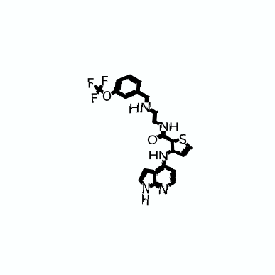 O=C(NCCNCc1cccc(OC(F)(F)F)c1)C1SC=CC1Nc1ccnc2[nH]ccc12